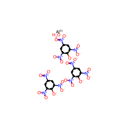 O.O=[N+]([O-])c1cc([N+](=O)[O-])c([O-])c([N+](=O)[O-])c1.O=[N+]([O-])c1cc([N+](=O)[O-])c([O-])c([N+](=O)[O-])c1.O=[N+]([O-])c1cc([N+](=O)[O-])c([O-])c([N+](=O)[O-])c1.[Al+3]